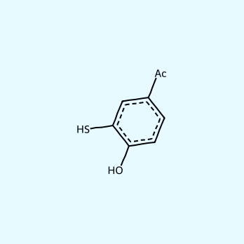 CC(=O)c1ccc(O)c(S)c1